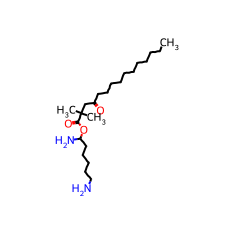 CCCCCCCCCCCC(=O)CC(C)(C)C(=O)OC(N)CCCCCN